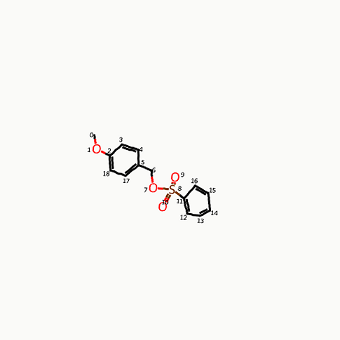 COc1ccc(COS(=O)(=O)c2ccccc2)cc1